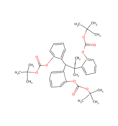 CC(C)(C)OC(=O)Oc1ccccc1C(c1ccccc1OC(=O)OC(C)(C)C)C(C)(C)c1ccccc1OC(=O)OC(C)(C)C